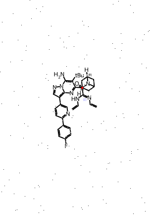 C=C/N=C(\NC=C)C(=O)N1C2C[C@@H](c3nc4c(-c5ccc(-c6ccc(F)cc6)nc5)cnn4c(N)c3C(C)(C)C)C[C@@H]1C2